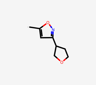 [CH2]c1cc(C2CCOC2)no1